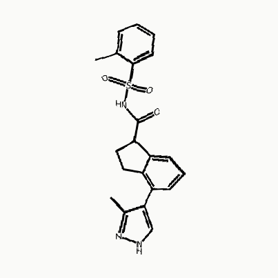 Cc1ccccc1S(=O)(=O)NC(=O)C1CCc2c(-c3c[nH]nc3C)cccc21